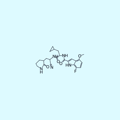 COc1ccc(F)c2[nH]c(C(=O)NC(CC3CC3)C(=O)NC(C#N)CC3CCCNC3=O)cc12